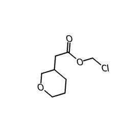 O=C(CC1CCCOC1)OCCl